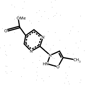 COC(=O)c1cnc(N2C=C(C)ON2)nc1